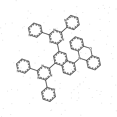 c1ccc(-c2nc(-c3cccnc3)nc(-c3cc(-c4nc(-c5cccnc5)nc(-c5ccccn5)n4)c4cccc(N5c6ccccc6Oc6ccccc65)c4c3)n2)nc1